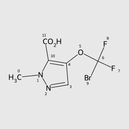 Cn1ncc(OC(F)(F)Br)c1C(=O)O